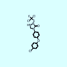 O=C1N(SC(F)(Cl)Cl)NCN1c1ccc(Oc2ccc(Cl)cc2)cc1